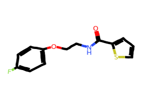 O=C(NCCOc1ccc(F)cc1)c1cccs1